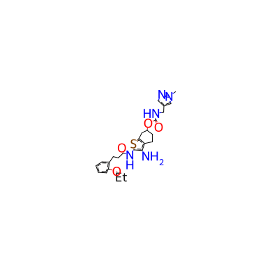 CCOc1ccccc1CCC(=O)Nc1sc2c(c1N)CCC(OC(=O)NCc1cnn(C)c1)C2